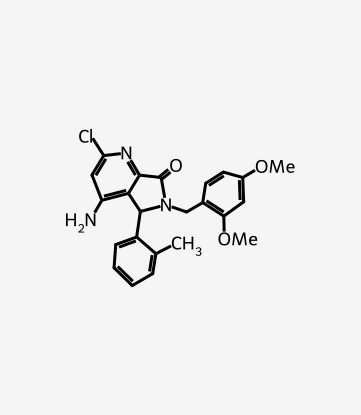 COc1ccc(CN2C(=O)c3nc(Cl)cc(N)c3C2c2ccccc2C)c(OC)c1